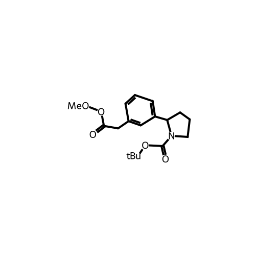 COOC(=O)Cc1cccc(C2CCCN2C(=O)OC(C)(C)C)c1